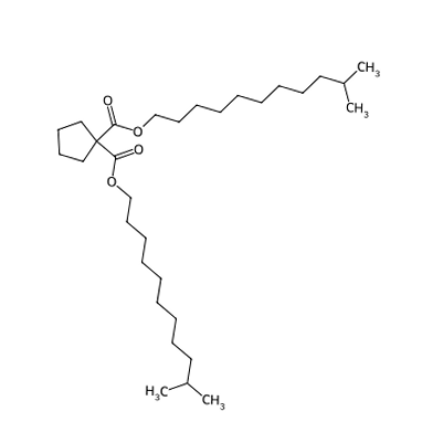 CC(C)CCCCCCCCCOC(=O)C1(C(=O)OCCCCCCCCCC(C)C)CCCC1